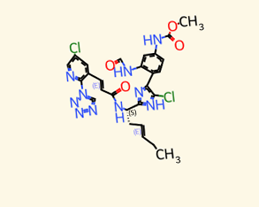 CC/C=C/C[C@H](NC(=O)/C=C/c1cc(Cl)cnc1-n1cnnn1)c1nc(-c2ccc(NC(=O)OC)cc2NC=O)c(Cl)[nH]1